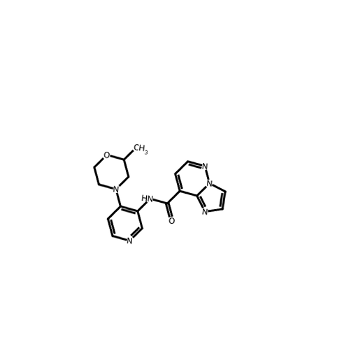 CC1CN(c2ccncc2NC(=O)c2ccnn3ccnc23)CCO1